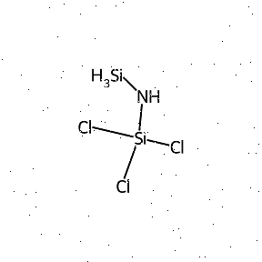 [SiH3]N[Si](Cl)(Cl)Cl